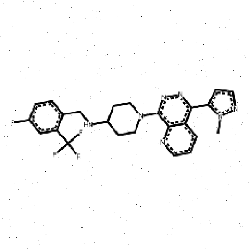 Cn1nccc1-c1nnc(N2CCC(NCc3ccc(F)cc3C(F)(F)F)CC2)c2ncccc12